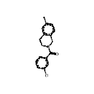 Cc1ccc2c(c1)CCN(C(=O)c1cccc(Cl)c1)C2